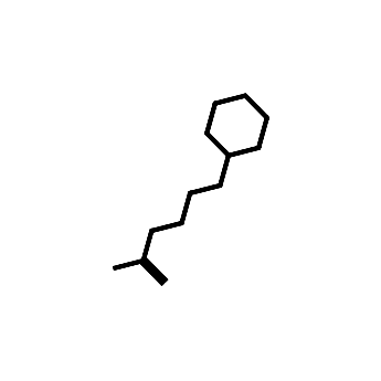 C=C(C)CCCCC1CCCCC1